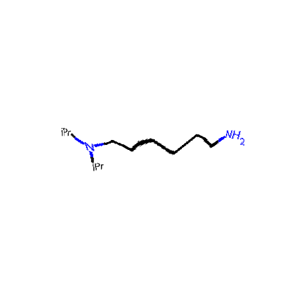 CC(C)N(CCCCCCN)C(C)C